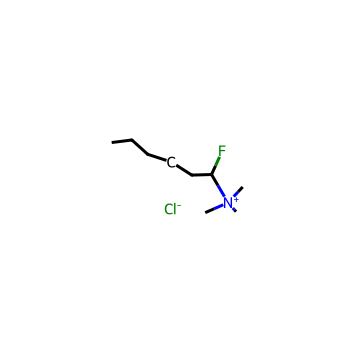 CCCCCC(F)[N+](C)(C)C.[Cl-]